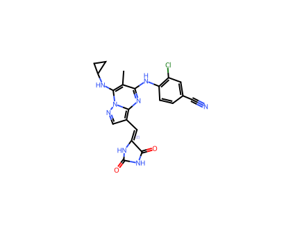 Cc1c(Nc2ccc(C#N)cc2Cl)nc2c(/C=C3\NC(=O)NC3=O)cnn2c1NC1CC1